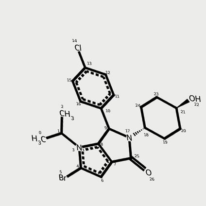 CC(C)n1c(Br)cc2c1C(c1ccc(Cl)cc1)N([C@H]1CC[C@H](O)CC1)C2=O